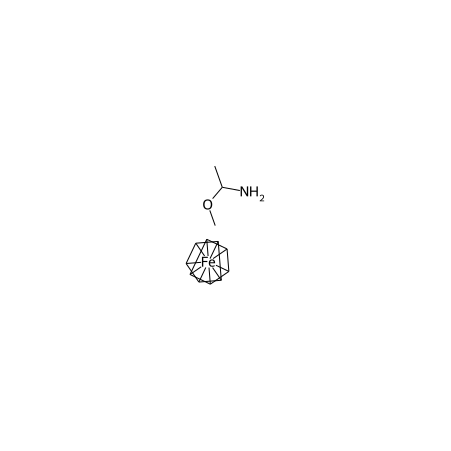 COC(C)N.[CH]12[CH]3[CH]4[CH]5[CH]1[Fe]23451678[CH]2[CH]1[CH]6[CH]7[CH]28